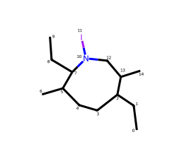 CCC1CCC(C)C(CC)N(I)CC1C